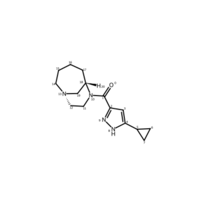 O=C(c1cc(C2CC2)[nH]n1)N1CC[N@]2CCCC[C@H]1C2